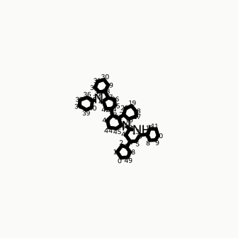 C1CCC(C2CC(C3CCCCC3)NC(N3C4CCCCC4C4C(C5CCC6C7CCCCC7N(C7CCCCC7)C6C5)CCCC43)C2)CC1